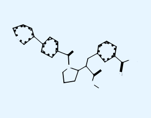 COC(=O)C(Cc1cccc(C(C)=N)c1)C1CCCN1C(=O)c1ccc(-c2cccnc2)cc1